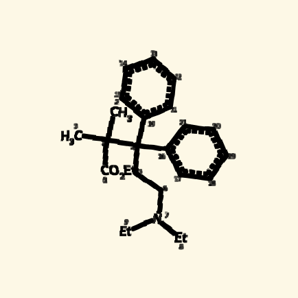 CCOC(=O)C(C)(C)C(CCN(CC)CC)(c1ccccc1)c1ccccc1